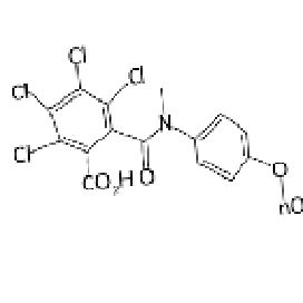 CCCCCCCCOc1ccc(N(C)C(=O)c2c(Cl)c(Cl)c(Cl)c(Cl)c2C(=O)O)cc1